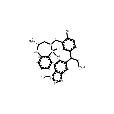 Cc1ccc(C(CC(=O)O)c2ccc3c(c2)nnn3C)cc1CN1C[C@@H](C)Oc2ccccc2S1(O)O